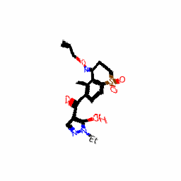 C=CCON=C1CCS(=O)(=O)c2ccc(C(=O)c3cnn(CC)c3O)c(C)c21